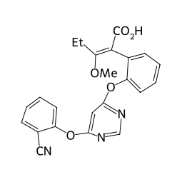 CC/C(OC)=C(\C(=O)O)c1ccccc1Oc1cc(Oc2ccccc2C#N)ncn1